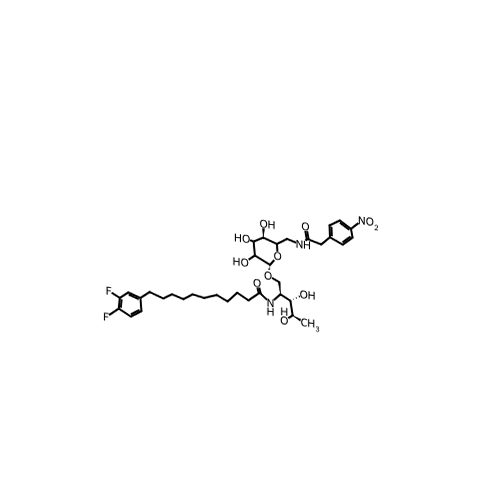 C[C@@H](O)[C@@H](O)[C@H](CO[C@H]1OC(CNC(=O)Cc2ccc([N+](=O)[O-])cc2)[C@H](O)C(O)C1O)NC(=O)CCCCCCCCCCc1ccc(F)c(F)c1